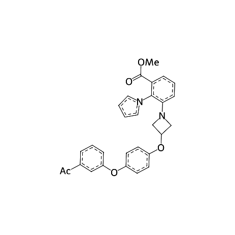 COC(=O)c1cccc(N2CC(Oc3ccc(Oc4cccc(C(C)=O)c4)cc3)C2)c1-n1cccc1